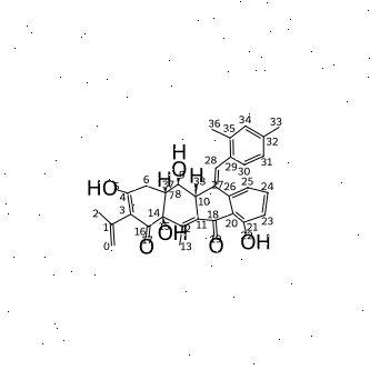 C=C(C)C1=C(O)C[C@@H]2[C@@H](O)[C@H]3C(=C(C)[C@]2(O)C1=O)C(=O)c1c(O)cccc1/C3=C\c1ccc(C)cc1C